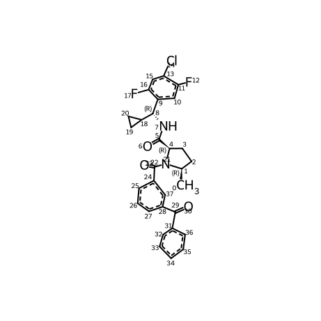 C[C@@H]1CC[C@H](C(=O)N[C@@H](c2cc(F)c(Cl)cc2F)C2CC2)N1C(=O)c1cccc(C(=O)c2ccccc2)c1